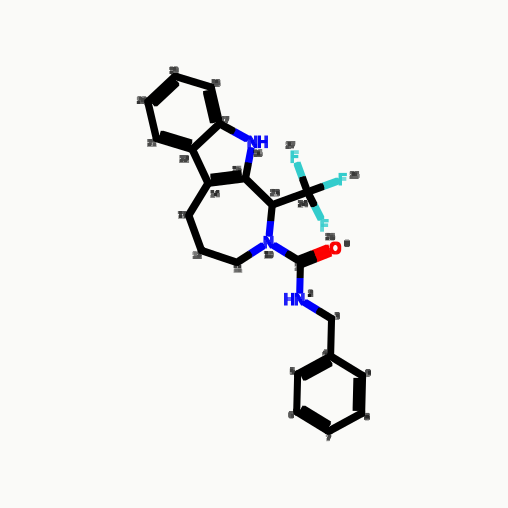 O=C(NCc1ccccc1)N1CCCc2c([nH]c3ccccc23)C1C(F)(F)F